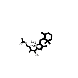 CC(=O)OCC=C(C)C(O)C1C=C(C)C(CC2=C(C)CCCC2(C)C)S1(O)O